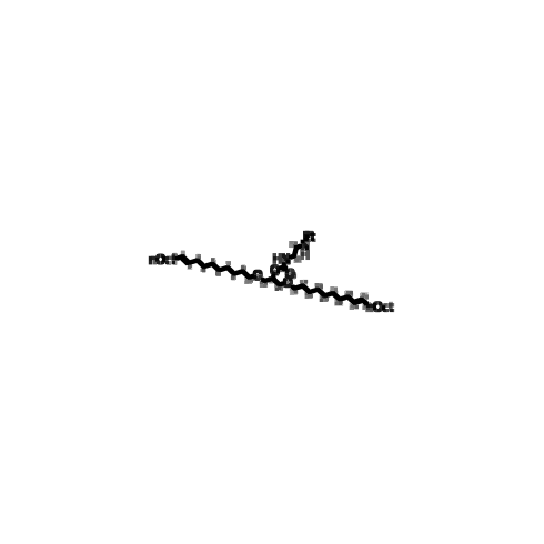 CCCCCCCCC=CCCCCCCCCOCC(COCCCCCCCCC=CCCCCCCCC)OC(=O)NCCNCC